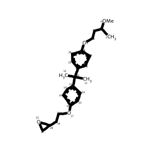 COC(C)CCOc1ccc(C(C)(C)c2ccc(OCCC3CO3)cc2)cc1